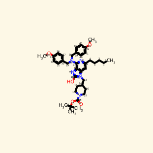 CCCCCc1cc2c(nc(O)n2CC2CCN(C(=O)OC(C)(C)C)CC2)c(N(Cc2ccc(OC)cc2)Cc2ccc(OC)cc2)n1